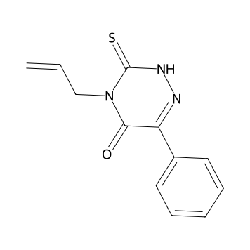 C=CCn1c(=S)[nH]nc(-c2ccccc2)c1=O